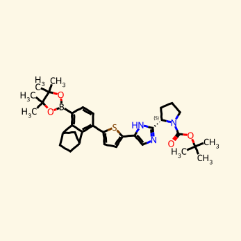 CC(C)(C)OC(=O)N1CCC[C@H]1c1ncc(-c2ccc(-c3ccc(B4OC(C)(C)C(C)(C)O4)c4c3C3CCC4C3)s2)[nH]1